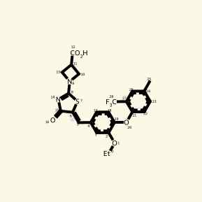 CCOc1cc(/C=C2\SC(N3CC(C(=O)O)C3)=NC2=O)ccc1Oc1ccc(C)cc1C(F)(F)F